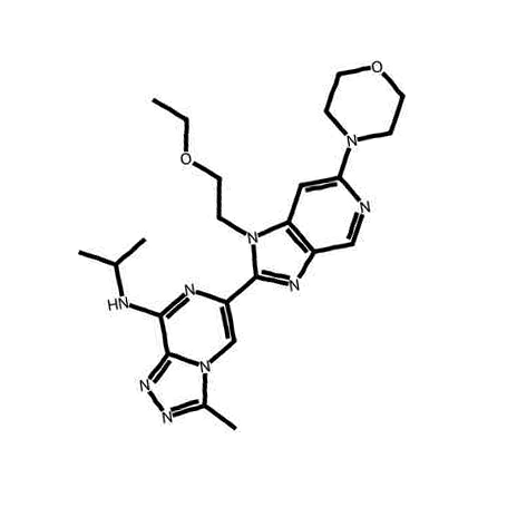 CCOCCn1c(-c2cn3c(C)nnc3c(NC(C)C)n2)nc2cnc(N3CCOCC3)cc21